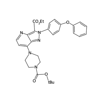 CCOC(=O)c1c2nccc(N3CCN(C(=O)OC(C)(C)C)CC3)c2nn1-c1ccc(Oc2ccccc2)cc1